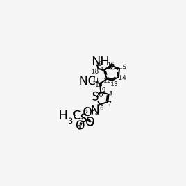 CS(=O)(=O)ON=C1C=CC(C(C#N)c2ccccc2CN)S1